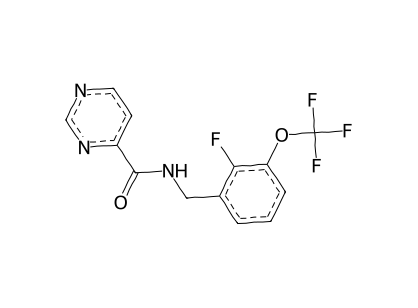 O=C(NCc1cccc(OC(F)(F)F)c1F)c1ccncn1